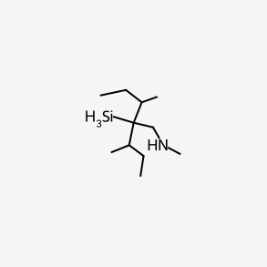 CCC(C)C([SiH3])(CNC)C(C)CC